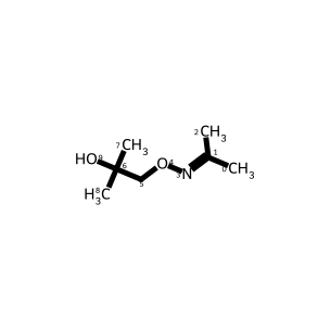 CC(C)=NOCC(C)(C)O